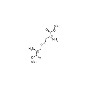 CCCCOC(=O)[C@@H](N)CSSC[C@H](N)C(=O)OCCCC